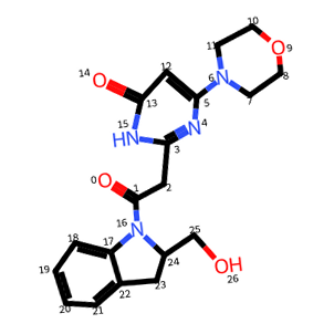 O=C(Cc1nc(N2CCOCC2)cc(=O)[nH]1)N1c2ccccc2CC1CO